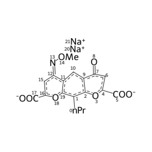 CCCc1c2oc(C(=O)[O-])cc(=O)c2cc2/c(=N\OC)cc(C(=O)[O-])oc12.[Na+].[Na+]